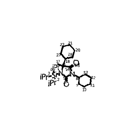 CC(C)[Si](C(C)C)(C(C)C)N1C(=O)N(C2CCCCC2)C(=O)C1(C)C1CCCCC1